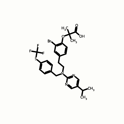 CC(C)c1cnc(N(CCc2ccc(OC(C)(C)C(=O)O)c(Br)c2)Cc2ccc(SC(F)(F)F)cc2)nc1